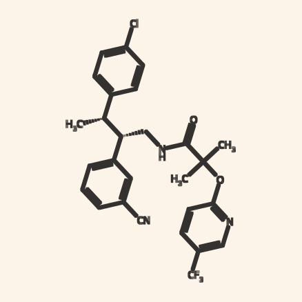 C[C@H](c1ccc(Cl)cc1)[C@H](CNC(=O)C(C)(C)Oc1ccc(C(F)(F)F)cn1)c1cccc(C#N)c1